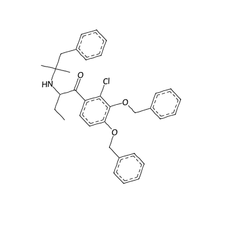 CCC(NC(C)(C)Cc1ccccc1)C(=O)c1ccc(OCc2ccccc2)c(OCc2ccccc2)c1Cl